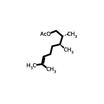 CC(=O)OC[C@H](C)[C@@H](C)CCC=C(C)C